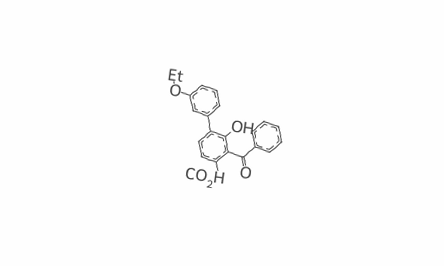 CCOc1cccc(-c2ccc(C(=O)O)c(C(=O)c3ccccc3)c2O)c1